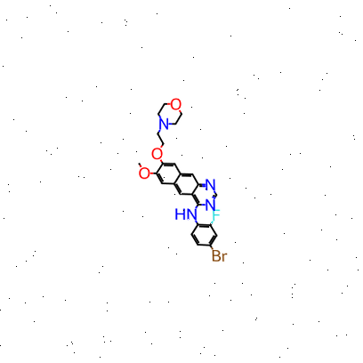 COc1cc2cc3c(Nc4ccc(Br)cc4F)ncnc3cc2cc1OCCN1CCOCC1